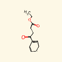 CCOC(=O)CCC(=O)C1=CC[CH]C=C1